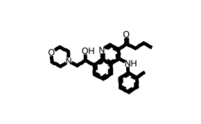 CCCC(=O)c1cnc2c(C(O)CN3CCOCC3)cccc2c1Nc1ccccc1C